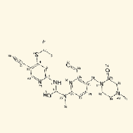 CC(C)Sc1cc(NC(O)N(C)c2ccc(CN3CCN(C)CC3=O)c(C=O)n2)ncc1C#N